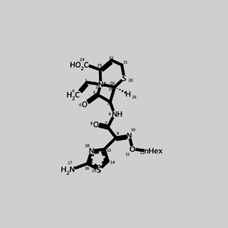 C=C[N+]12C(=O)C(NC(=O)C(=NOCCCCCC)c3csc(N)n3)[C@@H]1SCC=C2C(=O)O